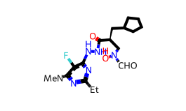 CCc1nc(NC)c(F)c(NNC(=O)[C@@H](CC2CCCC2)CN(O)C=O)n1